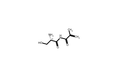 C=C(C)C(=O)NC(=O)[C@@H](N)CO